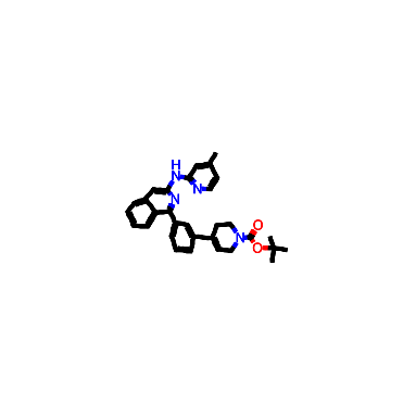 Cc1ccnc(Nc2cc3ccccc3c(-c3cccc(C4=CCN(C(=O)OC(C)(C)C)CC4)c3)n2)c1